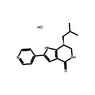 CC(C)C[C@H]1CNC(=O)c2cc(-c3ccncc3)[nH]c21.Cl